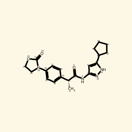 C[C@@H](C(=O)Nc1cc(C2CCCC2)[nH]n1)c1ccc(N2CCOC2=O)cc1